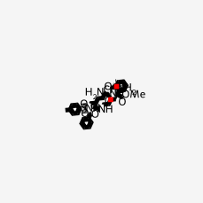 COC(=O)[C@@](CCCCNC(=O)OCc1ccccc1)(c1ccccc1)N(C(=O)[C@H](C)N)C(=O)[C@@](N)(C=O)CCCCNS(=O)(=O)c1ccc(C)cc1